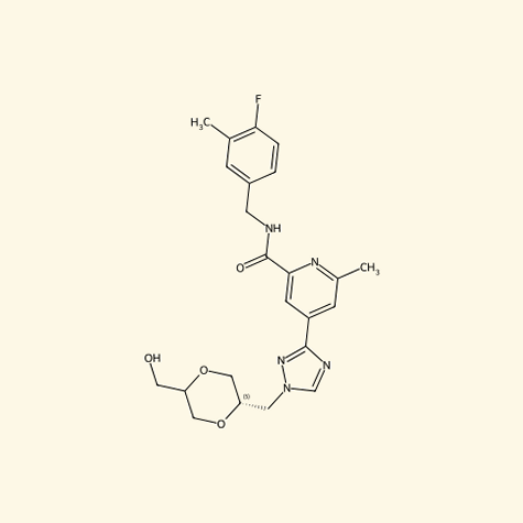 Cc1cc(-c2ncn(C[C@H]3COC(CO)CO3)n2)cc(C(=O)NCc2ccc(F)c(C)c2)n1